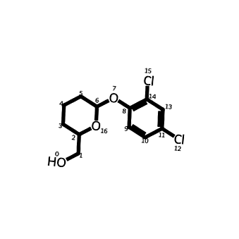 OCC1CCCC(Oc2ccc(Cl)cc2Cl)O1